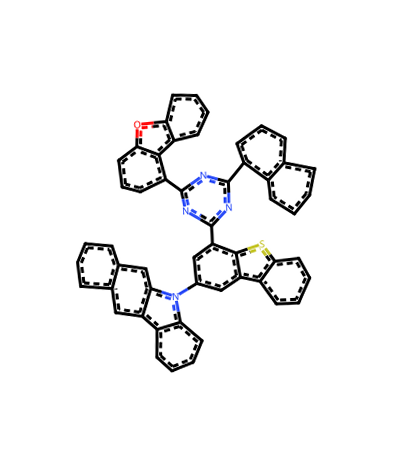 c1ccc2cc3c(cc2c1)c1ccccc1n3-c1cc(-c2nc(-c3cccc4ccccc34)nc(-c3cccc4oc5ccccc5c34)n2)c2sc3ccccc3c2c1